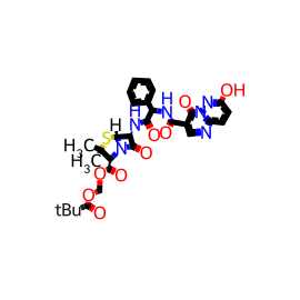 CC(C)(C)C(=O)OCOC(=O)[C@@H]1N2C(=O)[C@@H](NC(=O)C(NC(=O)c3cnc4ccc(O)nn4c3=O)c3ccccc3)[C@H]2SC1(C)C